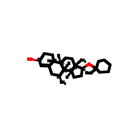 COC1(O[C@H]2CC[C@H]3[C@H]4[C@H](CC[C@]23C)[C@H]2CC[C@@H](O)C=C2C[C@H]4C)CCCCC1